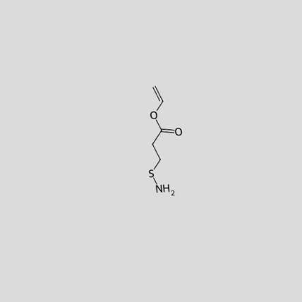 C=COC(=O)CCSN